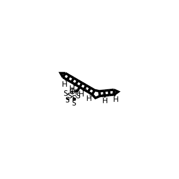 S=[SH](=S)S(=S)(=S)OCC12C(C3C4C5C6C(C[C@@H]5C4[C@@H]31)[C@@H]1C6C3C4C[C@@H]4C31)C1C3C4C5CC5[C@@H]4C3[C@H]12